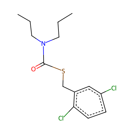 CCCN(CCC)C(=O)SCc1cc(Cl)ccc1Cl